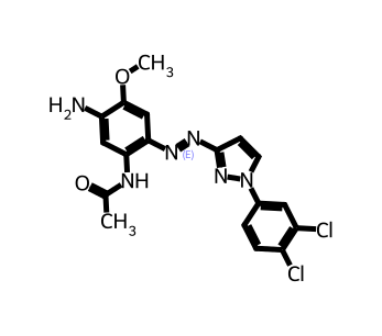 COc1cc(/N=N/c2ccn(-c3ccc(Cl)c(Cl)c3)n2)c(NC(C)=O)cc1N